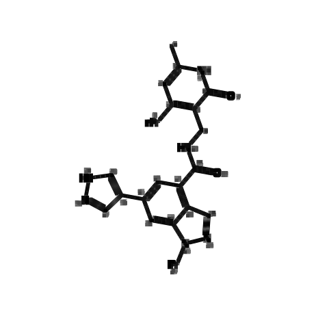 CCCc1cc(C)[nH]c(=O)c1CNC(=O)c1cc(-c2cn[nH]c2)cc2c1cnn2C(C)C